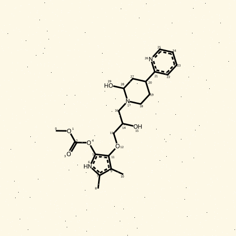 COC(=O)Oc1[nH]c(C)c(C)c1OCC(O)CN1CCC(c2ccccn2)CC1O